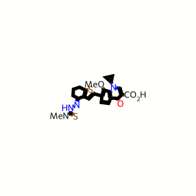 CNC(=S)NN=C1CCCc2sc(-c3ccc4c(=O)c(C(=O)O)cn(C5CC5)c4c3OC)cc21